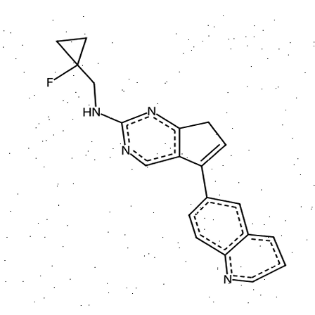 FC1(CNc2ncc3c(n2)CC=C3c2ccc3ncccc3c2)CC1